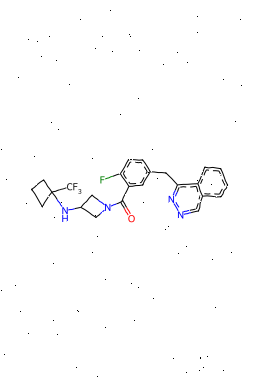 O=C(c1cc(Cc2nncc3ccccc23)ccc1F)N1CC(NC2(C(F)(F)F)CCC2)C1